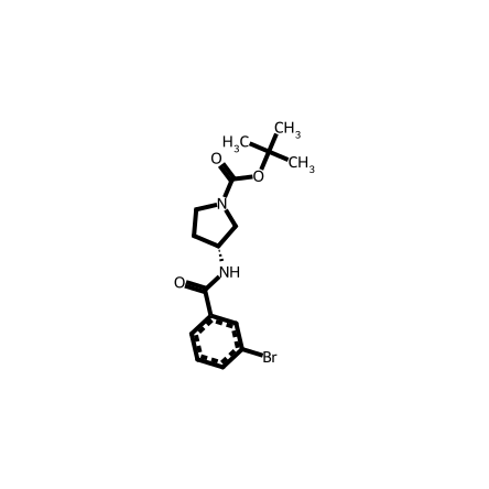 CC(C)(C)OC(=O)N1CC[C@@H](NC(=O)c2cccc(Br)c2)C1